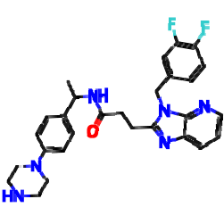 CC(NC(=O)CCc1nc2cccnc2n1Cc1ccc(F)c(F)c1)c1ccc(N2CCNCC2)cc1